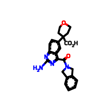 Nc1nc(C(=O)N2Cc3ccccc3C2)c2cc(C3(C(=O)O)CCOCC3)ccc2n1